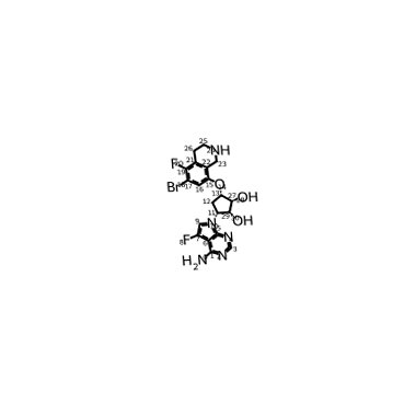 Nc1ncnc2c1c(F)cn2[C@@H]1C[C@H](Oc2cc(Br)c(F)c3c2CNCC3)[C@@H](O)[C@H]1O